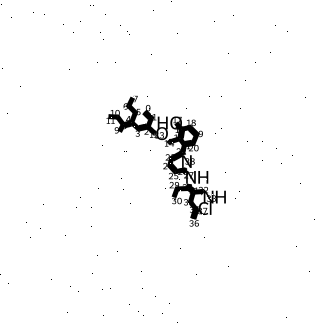 C=C/C(=C\C(CCC)=C(/C)CC)COCc1c(O)cccc1-c1cccc(N/C(CC)=C(\C=N)CC(=C)Cl)n1